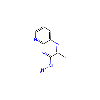 Cc1nc2cccnc2nc1NN